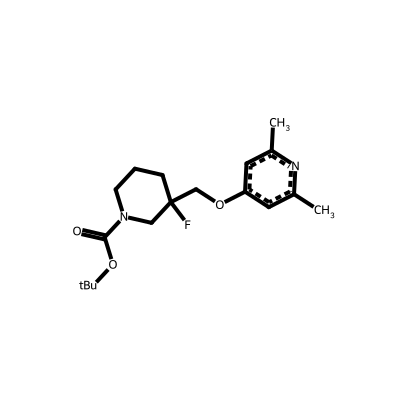 Cc1cc(OCC2(F)CCCN(C(=O)OC(C)(C)C)C2)cc(C)n1